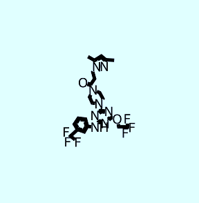 Cc1cc(C)n(CCC(=O)N2CCN(c3nc(Nc4cccc(C(F)(F)F)c4)nc(OCC(F)(F)F)n3)CC2)n1